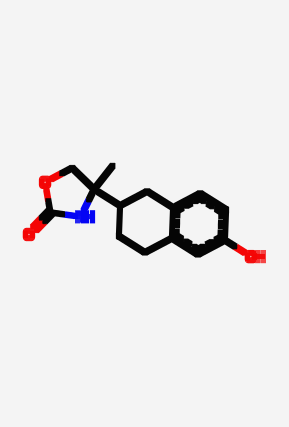 CC1(C2CCc3cc(O)ccc3C2)COC(=O)N1